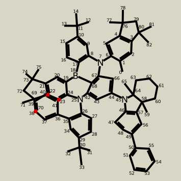 Cc1cc2c(cc1N1c3cc(C(C)(C)C)ccc3B3c4cc5c(cc4N(c4ccc(C(C)(C)C)cc4-c4ccccc4)c4cc(N6c7ccc(-c8ccccc8)cc7C7(C)CCCCC67C)cc1c43)C(C)(C)CC5(C)C)C(C)(C)CC2(C)C